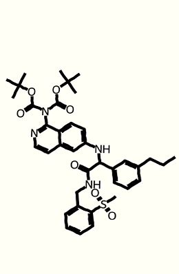 CCCc1cccc(C(Nc2ccc3c(N(C(=O)OC(C)(C)C)C(=O)OC(C)(C)C)nccc3c2)C(=O)NCc2ccccc2S(C)(=O)=O)c1